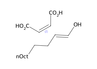 CCCCCCCCCCC=CO.O=C(O)/C=C\C(=O)O